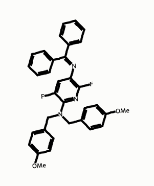 COc1ccc(CN(Cc2ccc(OC)cc2)c2nc(F)c(N=C(c3ccccc3)c3ccccc3)cc2F)cc1